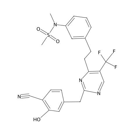 CN(c1cccc(CCc2nc(Cc3ccc(C#N)c(O)c3)ncc2C(F)(F)F)c1)S(C)(=O)=O